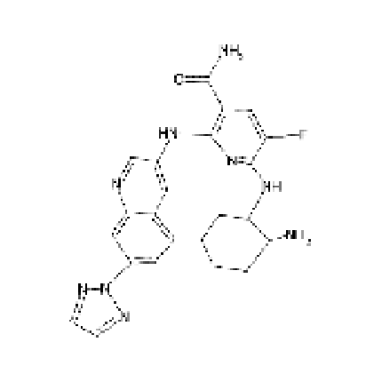 NC(=O)c1cc(F)c(NC2CCCCC2N)nc1Nc1cnc2cc(-n3nccn3)ccc2c1